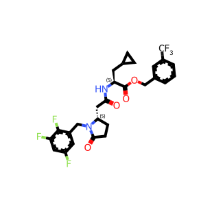 O=C(C[C@@H]1CCC(=O)N1Cc1cc(F)cc(F)c1F)N[C@@H](CC1CC1)C(=O)OCc1cccc(C(F)(F)F)c1